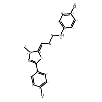 CN1N=C(c2ccc(Cl)cc2)SC1=CCCNc1ccc(Cl)cc1